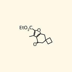 CCOC(=O)c1oc2c(c1C)C(=O)CC1(CCC1)C2